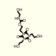 O=C(NCCO)OCCn1c(=O)n(CCO)c(=O)n(CCO)c1=O